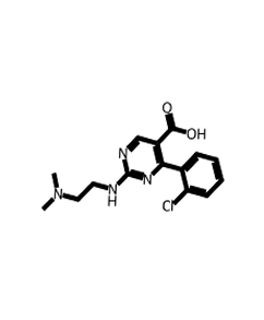 CN(C)CCNc1ncc(C(=O)O)c(-c2ccccc2Cl)n1